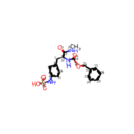 CNC(=O)[C@H](Cc1ccc(NS(=O)(=O)O)cc1)NC(=O)OCc1ccccc1